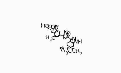 Cc1cc(-c2noc(-c3n[nH]c4c3CCC(C)(C)C4)n2)cc(C)c1CC(O)CO